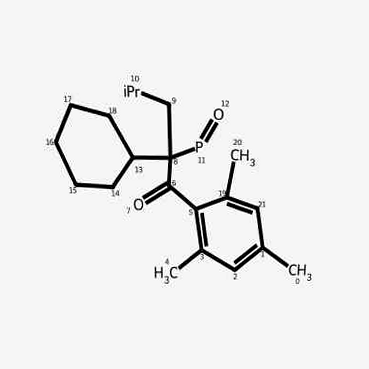 Cc1cc(C)c(C(=O)C(CC(C)C)(P=O)C2CCCCC2)c(C)c1